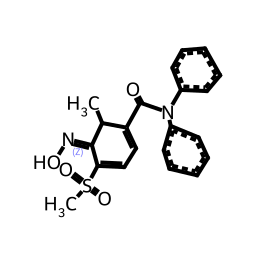 CC1C(C(=O)N(c2ccccc2)c2ccccc2)=CC=C(S(C)(=O)=O)/C1=N\O